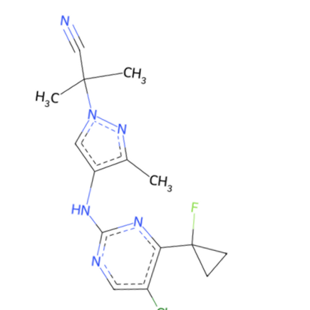 Cc1nn(C(C)(C)C#N)cc1Nc1ncc(Cl)c(C2(F)CC2)n1